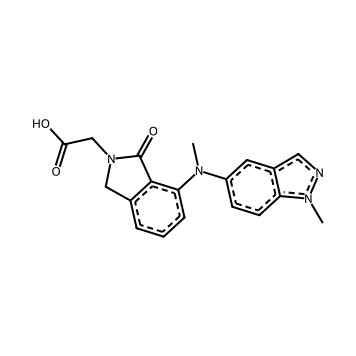 CN(c1ccc2c(cnn2C)c1)c1cccc2c1C(=O)N(CC(=O)O)C2